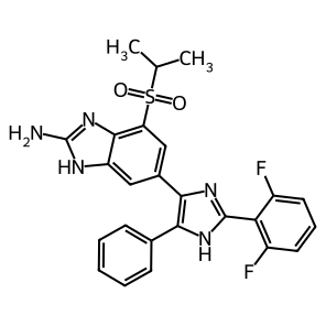 CC(C)S(=O)(=O)c1cc(-c2nc(-c3c(F)cccc3F)[nH]c2-c2ccccc2)cc2[nH]c(N)nc12